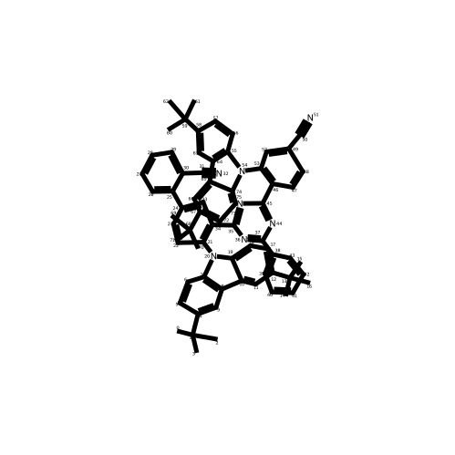 CC(C)(C)c1ccc2c(c1)c1cc(C(C)(C)C)ccc1n2-c1ccc(-c2ccccc2C#N)cc1-c1nc(-c2ccccc2)nc(-c2ccc(C#N)cc2-n2c3ccc(C(C)(C)C)cc3c3cc(C(C)(C)C)ccc32)n1